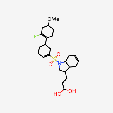 COC1CCC(C2CCC=C(S(=O)(=O)N3CC(CCC(O)O)C4CC=CCC43)C2)=C(F)C1